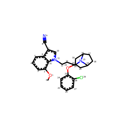 COc1cccc2c(C#N)cn(CCCN3C4CCC3CC(Oc3ccccc3Cl)C4)c12